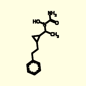 CC(C1CC1CCc1ccccc1)N(O)C(N)=O